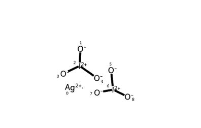 [Ag+2].[O-][I+2]([O-])[O-].[O-][I+2]([O-])[O-]